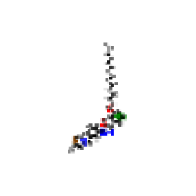 Br.CCCCCCCCCCCCCCOc1cccc(CC(=O)Nc2cccc(CN3C=C(C)SC3)c2)c1